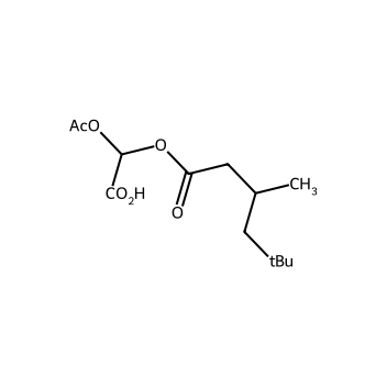 CC(=O)OC(OC(=O)CC(C)CC(C)(C)C)C(=O)O